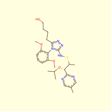 COc1cccc(OC)c1-n1c(CCCCO)nnc1NSC(C)[C@@H](OC(C)C)c1ncc(C)cn1